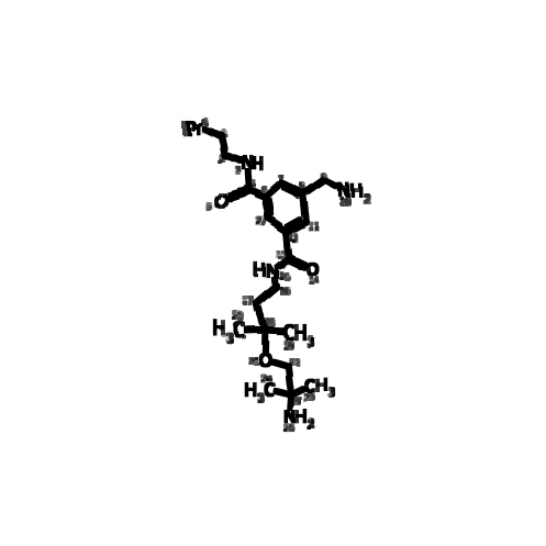 CC(C)CCNC(=O)c1cc(CN)cc(C(=O)NCCC(C)(C)OCC(C)(C)N)c1